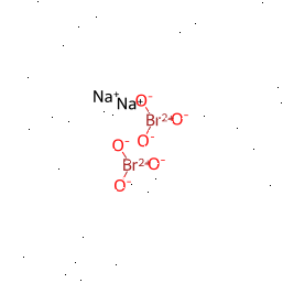 [Na+].[Na+].[O-][Br+2]([O-])[O-].[O-][Br+2]([O-])[O-]